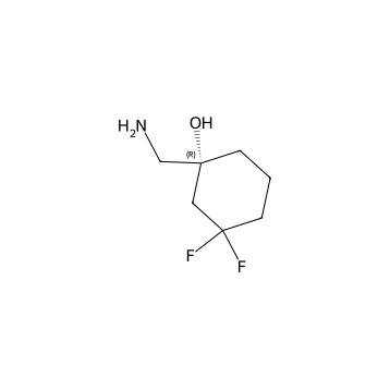 NC[C@@]1(O)CCCC(F)(F)C1